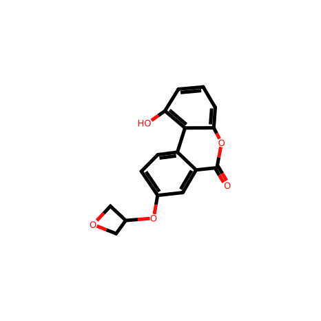 O=c1oc2cccc(O)c2c2ccc(OC3COC3)cc12